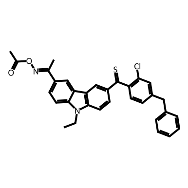 CCn1c2ccc(C(=S)c3ccc(Cc4ccccc4)cc3Cl)cc2c2cc(C(C)=NOC(C)=O)ccc21